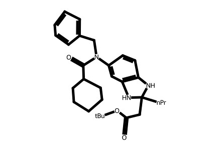 CCCC1(CC(=O)OC(C)(C)C)Nc2ccc(N(Cc3ccccc3)C(=O)C3CCCCC3)cc2N1